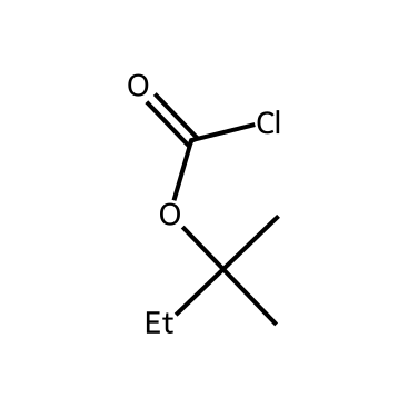 CCC(C)(C)OC(=O)Cl